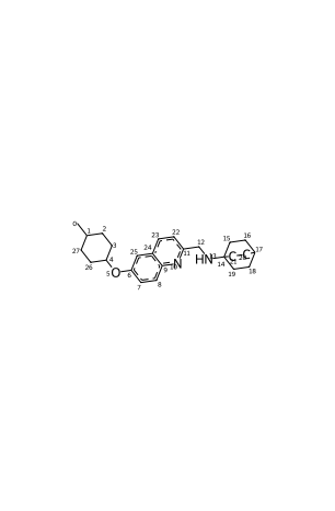 CC1CCC(Oc2ccc3nc(CNC45CCC(CC4)CC5)ccc3c2)CC1